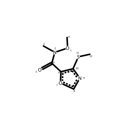 CON(C)C(=O)c1ocnc1SC